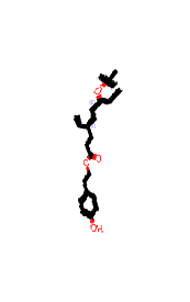 C=C/C(=C\C=C(/C=C)OC(C)(C)C)CCC(=O)OCCc1ccc(O)cc1